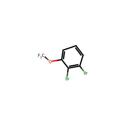 FC(F)(F)Oc1cc[c]c(Br)c1Br